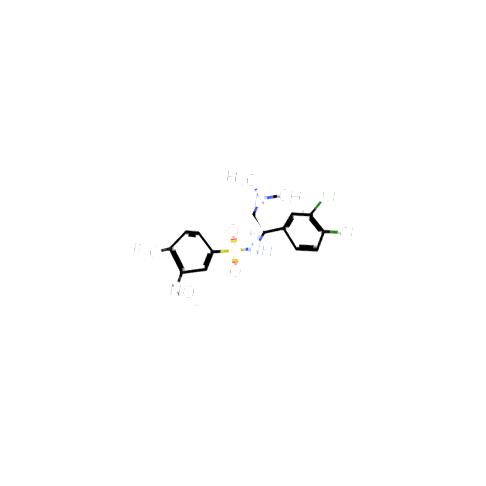 CN(C)C[C@H](NS(=O)(=O)c1ccc(C(F)(F)F)c([N+](=O)[O-])c1)c1ccc(Cl)c(Cl)c1